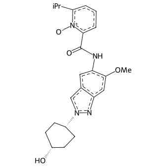 COc1cc2nn([C@H]3CC[C@@H](O)CC3)cc2cc1NC(=O)c1cccc(C(C)C)[n+]1[O-]